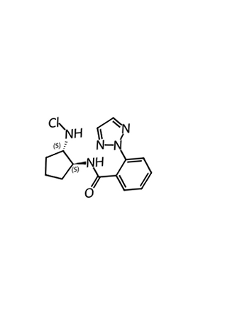 O=C(N[C@H]1CCC[C@@H]1NCl)c1ccccc1-n1nccn1